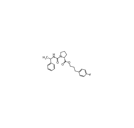 CC(NC(=O)N1CCC[C@H]1C(=O)OCCCc1ccc(F)cc1)c1ccccc1